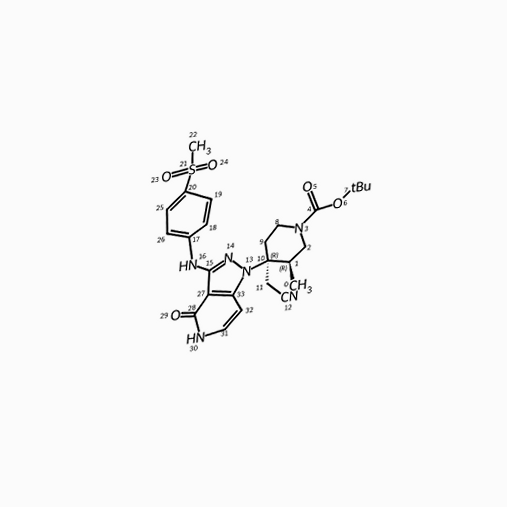 C[C@@H]1CN(C(=O)OC(C)(C)C)CC[C@]1(CC#N)n1nc(Nc2ccc(S(C)(=O)=O)cc2)c2c(=O)[nH]ccc21